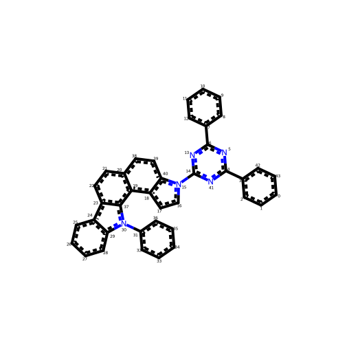 c1ccc(-c2nc(-c3ccccc3)nc(-n3ccc4c5c(ccc6c7ccccc7n(-c7ccccc7)c65)ccc43)n2)cc1